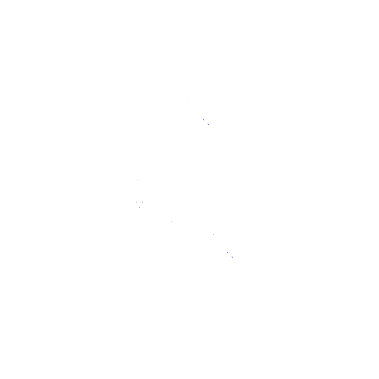 COC(=O)C(CON1C(C)(C)CCCC1(C)C)OC(=O)C1CCC(C)(C)N([O])C1(C)C